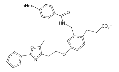 CCCCCCc1ccc(C(=O)NCc2cc(OCCc3nc(-c4ccccc4)oc3C)ccc2CCC(=O)O)cc1